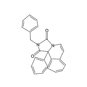 O=C1N(Cc2ccccc2)C(=O)C2(c3ccccc3)c3ccccc3C=CN12